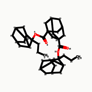 CCCC1(OC(=O)C23CC4CC(C2)CC(C(=O)OC2(CCC)C5CC6CC(C5)CC2C6)(C4)C3)C2CC3CC(C2)CC1C3